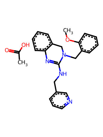 CC(=O)O.COc1ccccc1CN1Cc2ccccc2N=C1NCc1cccnc1